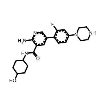 Nc1ncc(-c2ccc(N3CCNCC3)cc2F)cc1C(=O)NC1CCC(O)CC1